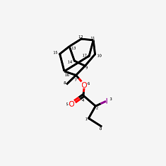 CCC(I)C(=O)OC1(C)C2CC3CC(C2)CC1C3